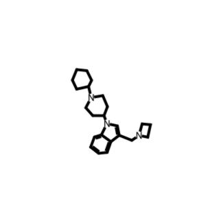 c1ccc2c(c1)c(CN1CCC1)cn2C1CCN(C2CCCCC2)CC1